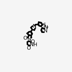 CN(Sc1ccc(CN2CCC(c3ccc4c(c3)CN(C3CCC(=O)NC3=O)C4=O)CC2)cc1)c1ccccn1